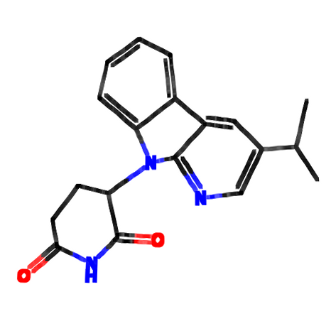 CC(C)c1cnc2c(c1)c1ccccc1n2C1CCC(=O)NC1=O